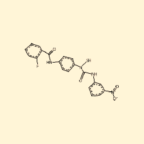 O=C(Nc1ccc(N(S)C(=O)Nc2cccc([N+](=O)[O-])c2)cc1)c1ccccc1F